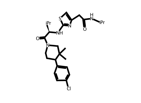 CC(C)NC(=O)Cc1csc(N[C@@H](C(=O)N2CCC(c3ccc(Cl)cc3)C(C)(C)C2)C(C)C)n1